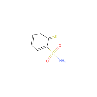 NS(=O)(=O)C1=CC=CCC1=S